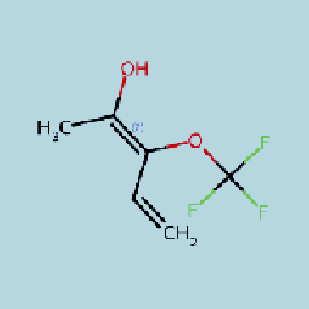 C=C/C(OC(F)(F)F)=C(\C)O